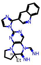 CC[C@@]12CCCN1c1nc(-n3ccnc3-c3cnc4ccccc4c3)ncc1N(C=N)C2=N